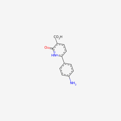 Nc1ccc(-c2ccc(C(=O)O)c(=O)[nH]2)cc1